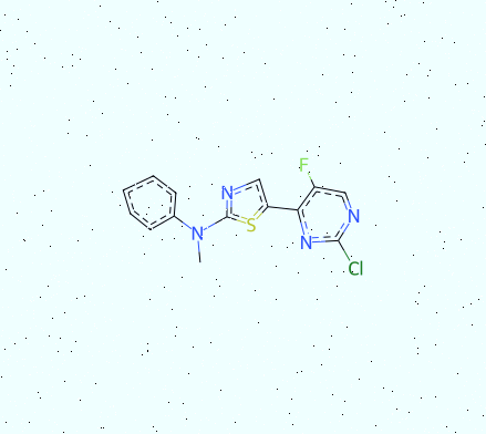 CN(c1ccccc1)c1ncc(-c2nc(Cl)ncc2F)s1